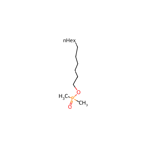 CCCCCCCCCCCCOP(C)(C)=O